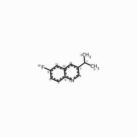 CC(C)c1cnc2ccc(F)cc2c1